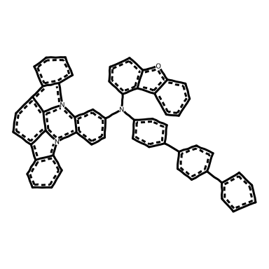 c1ccc(-c2ccc(-c3ccc(N(c4ccc5c(c4)n4c6ccccc6c6ccc7c8ccccc8n5c7c64)c4cccc5oc6ccccc6c45)cc3)cc2)cc1